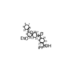 CCOC1CC(C2=CCCCC2)OC2(CCN(C(=O)C3CC=C(C(O)C(C)C)CC3)CC2)C1